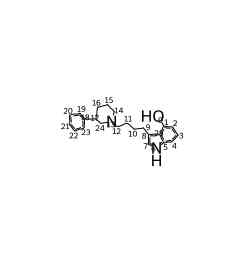 Oc1cccc2[nH]cc(CCCCN3CCCC(c4ccccc4)C3)c12